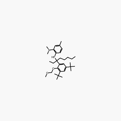 CCCCCC(CC)(Pc1ccc(C)cc1N(C)C)c1cc(C(C)(C)C)cc(C(C)(C)C)c1OCOC